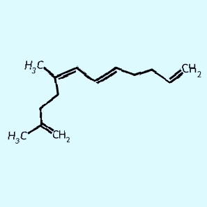 C=CCCC=CC=C(C)CCC(=C)C